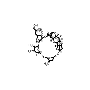 C=C1CC2CC[C@@]34CC5O[C@H]6[C@@H](O3)[C@H]3OC(CC[C@@H]3O[C@H]6[C@H]5O4)CC(=O)CC3[C@@H](OC)C(C[C@H](O)CO)O[C@H]3CC3O[C@@H](CCC1O2)C[C@@H](C)C3=C